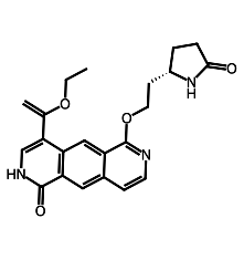 C=C(OCC)c1c[nH]c(=O)c2cc3ccnc(OCC[C@@H]4CCC(=O)N4)c3cc12